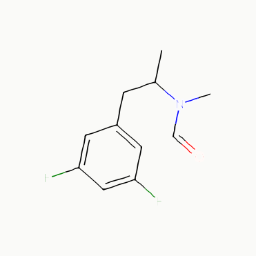 CC(Cc1cc(F)cc(F)c1)N(C)C=O